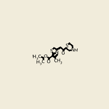 Cc1cn2c(c1C(=O)OC(C)C)SCC2=CC(=O)C1CNCCS1